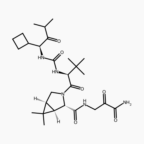 CC(C)C(=O)[C@@H](NC(=O)N[C@H](C(=O)N1C[C@H]2[C@@H]([C@H]1C(=O)NCC(=O)C(N)=O)C2(C)C)C(C)(C)C)C1CCC1